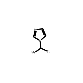 CCCC(CC)n1c[c]nc1